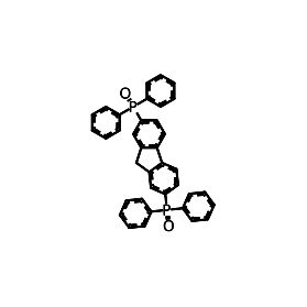 O=P(c1ccccc1)(c1ccccc1)c1ccc2c(c1)Cc1cc(P(=O)(c3ccccc3)c3ccccc3)ccc1-2